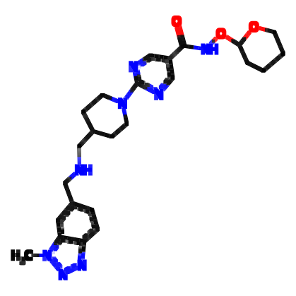 Cn1nnc2ccc(CNCC3CCN(c4ncc(C(=O)NOC5CCCCO5)cn4)CC3)cc21